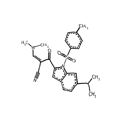 Cc1ccc(S(=O)(=O)n2c(C(=O)/C(C#N)=C\N(C)C)cc3ccc(C(C)C)cc32)cc1